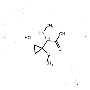 CN[C@H](C(=O)O)C1(OC)CC1.Cl